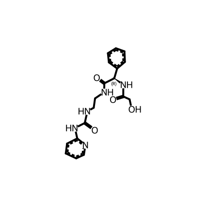 O=C(CO)N[C@@H](C(=O)NCCNC(=O)Nc1ccccn1)c1ccccc1